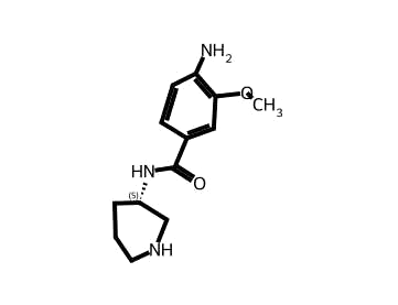 COc1cc(C(=O)N[C@H]2CCCNC2)ccc1N